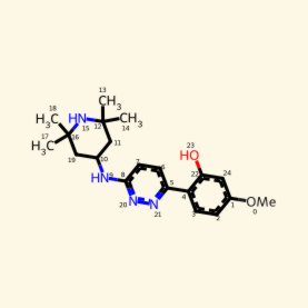 COc1ccc(-c2ccc(NC3CC(C)(C)NC(C)(C)C3)nn2)c(O)c1